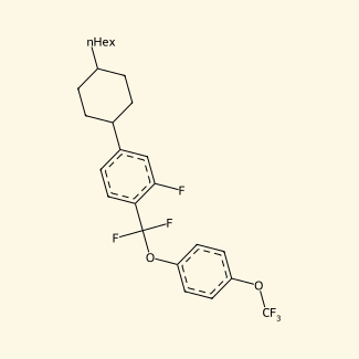 CCCCCCC1CCC(c2ccc(C(F)(F)Oc3ccc(OC(F)(F)F)cc3)c(F)c2)CC1